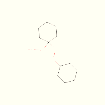 OOC1(OOC2CCCCC2)CCCCC1